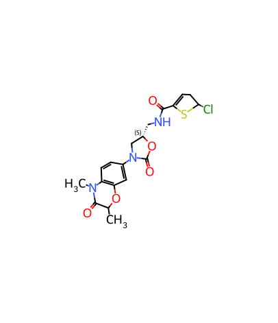 CC1Oc2cc(N3C[C@H](CNC(=O)C4=CCC(Cl)S4)OC3=O)ccc2N(C)C1=O